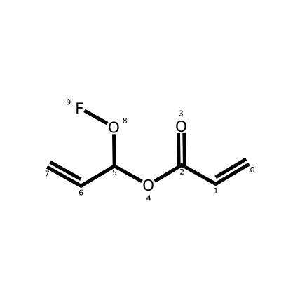 C=CC(=O)OC(C=C)OF